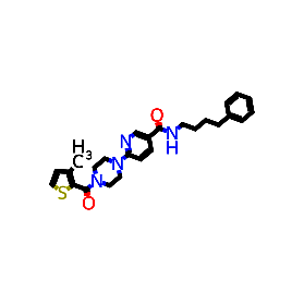 Cc1ccsc1C(=O)N1CCN(c2ccc(C(=O)NCCCCc3ccccc3)cn2)CC1